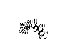 C=C1NC(=O)N(C)C=C1[C@@H]1O[C@H](COP(=O)(O)OP(=O)(O)OP(=O)(O)O)C(O)[C@@H]1O